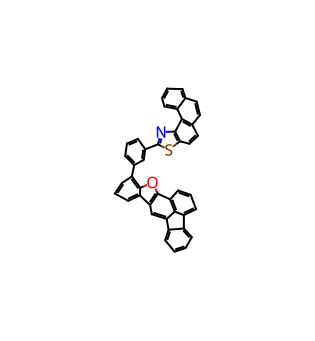 c1cc(-c2nc3c(ccc4ccc5ccccc5c43)s2)cc(-c2cccc3c2oc2c4cccc5c4c(cc32)-c2ccccc2-5)c1